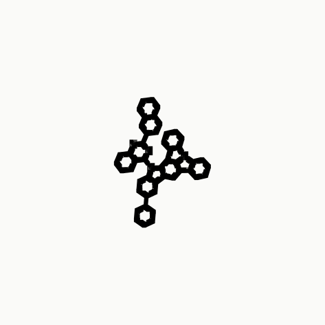 c1ccc(-c2ccc3c(c2)c2cc4c5ccccc5n5c6ccccc6c(c2n3-c2nc(-c3ccc6ccccc6c3)nc3ccccc23)c45)cc1